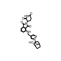 O=C1CCC(N2C(=O)c3cccc(NCc4cnn(C5CC6CCC(C5)N6C(=O)O)c4)c3C2=O)C(=O)N1